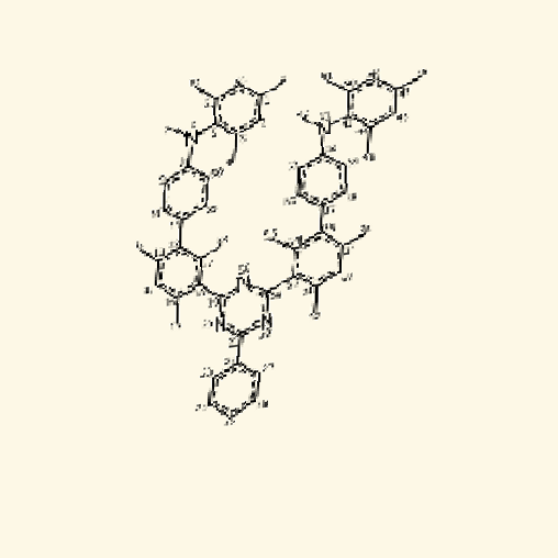 Cc1cc(C)c(N(C)c2ccc(-c3c(C)cc(C)c(-c4nc(-c5ccccc5)nc(-c5c(C)cc(C)c(-c6ccc(N(C)c7c(C)cc(C)cc7C)cc6)c5C)n4)c3C)cc2)c(C)c1